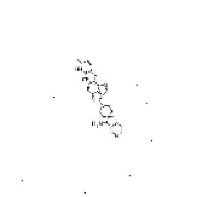 CC1C=CC(Sc2ccc3nc(N4CCC5(CC4)Cc4ccncc4[C@H]5N)c4cnc2n34)=C(C(F)(F)F)N1